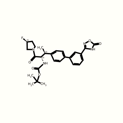 C[C@@H](c1ccc(-c2cccc(-c3noc(=O)[nH]3)c2)cc1)[C@H](NC(=O)OC(C)(C)C)C(=O)N1CC[C@H](F)C1